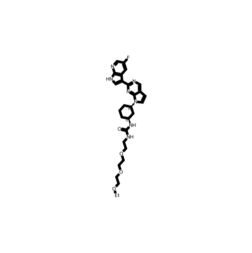 CCOCCOCCOCCNC(=O)N[C@H]1CCC[C@@H](n2ccc3cnc(-c4c[nH]c5ncc(F)cc45)nc32)C1